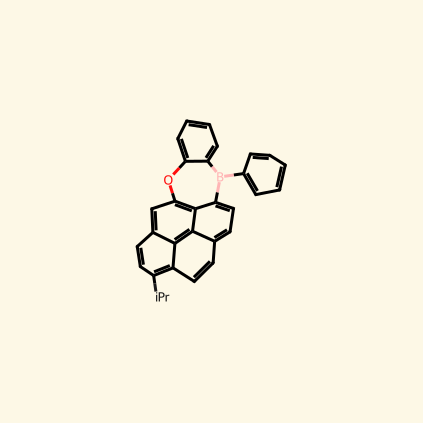 CC(C)c1ccc2cc3c4c(ccc5ccc1c2c54)B(c1ccccc1)c1ccccc1O3